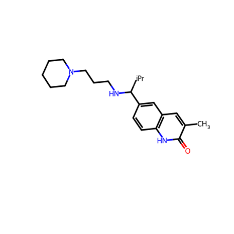 Cc1cc2cc(C(NCCCN3CCCCC3)C(C)C)ccc2[nH]c1=O